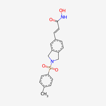 Cc1ccc(S(=O)(=O)N2Cc3ccc(C=CC(=O)NO)cc3C2)cc1